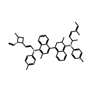 C=C[C@H]1C(C)CC1/C=C/N(c1ccc(C)cc1)c1c(C)cc(C2=c3ccccc3=C(N(c3ccc(C)cc3)C(C)/C=C\C(C)=C/C)C(C)C2)c2ccccc12